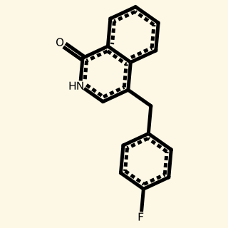 O=c1[nH]cc(Cc2ccc(F)cc2)c2ccccc12